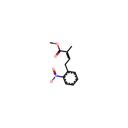 COC(=O)C(C)=CCc1ccccc1[N+](=O)[O-]